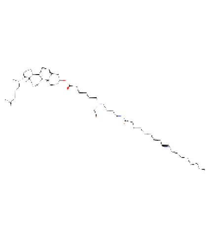 CCCCCCCC/C=C/CCCCCCCC(O)NCCCCN(CCO)CCCCCC(=O)OC1CCC2(C)C(=CCC3C2CCC2(C)C(C(C)CCCC(C)C)CCC32)C1